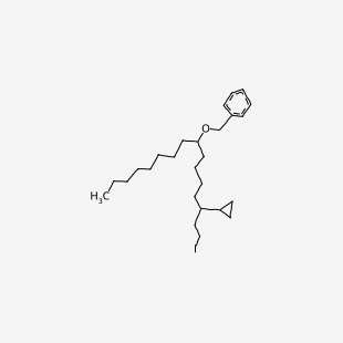 CCCCCCCCC(CCCCC(CCI)C1CC1)OCc1ccccc1